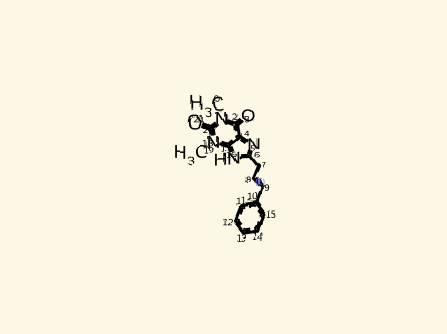 Cn1c(=O)c2nc(C/C=C/c3ccccc3)[nH]c2n(C)c1=O